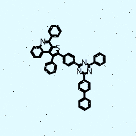 c1ccc(-c2ccc(-c3nc(-c4ccccc4)nc(-c4ccc(-c5sc6c(-c7ccccc7)nc7ccccc7c6c5-c5ccccc5)cc4)n3)cc2)cc1